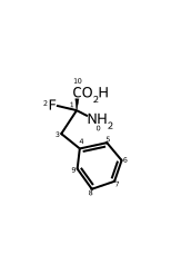 N[C@@](F)(Cc1ccccc1)C(=O)O